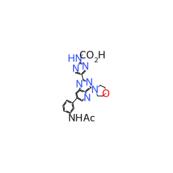 CC(=O)Nc1cccc(-c2cnc3c(N4CCOCC4)nc(-c4cnc(NC(=O)O)nc4)nc3c2)c1